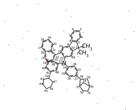 CC1(C)c2ccccc2-c2cc(-c3cccc4ccccc34)c(N(c3ccc(C4CC5CCC4C5)cc3)c3cccc(C4CCCCC4)c3)cc21